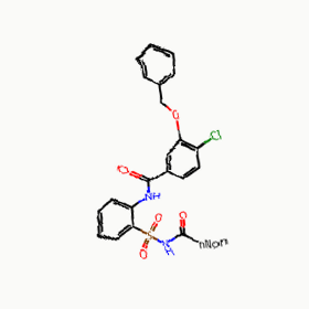 CCCCCCCCCC(=O)NS(=O)(=O)c1ccccc1NC(=O)c1ccc(Cl)c(OCc2ccccc2)c1